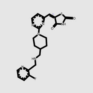 O=C1NC(=O)/C(=C\c2ccnc(N3CCC(CNCc4ncccc4F)CC3)n2)S1